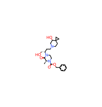 C[C@H]1C(=O)N([C@H](CO)CCN2CCC3(CC3)[C@H](O)C2)CCN1C(=O)OCc1ccccc1